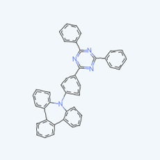 c1ccc(-c2nc(-c3ccccc3)nc(-c3ccc(N4c5ccccc5-c5ccccc5-c5ccccc54)cc3)n2)cc1